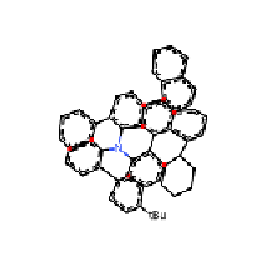 CC(C)(C)c1ccc(-c2ccccc2N(c2cc(-c3cccc4ccccc34)ccc2-c2ccccc2)c2ccccc2-c2cccc3cccc(C4CCCCC4)c23)cc1